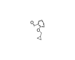 O=[C]c1ccccc1OCC1CC1